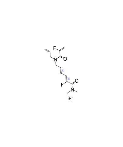 C=CCN(C/C=C/C=C(\F)C(=O)N(C)CC(C)C)C(=O)C(=C)F